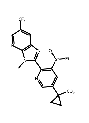 CC[S+]([O-])c1cc(C2(C(=O)O)CC2)cnc1-c1nc2cc(C(F)(F)F)cnc2n1C